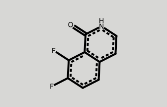 O=c1[nH]ccc2ccc(F)c(F)c12